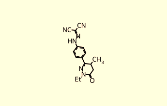 CCN1N=C(c2ccc(NN=C(C#N)C#N)cc2)C(C)CC1=O